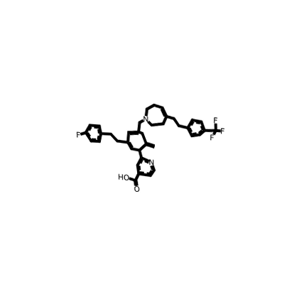 C=C1CC(CN2CCC=C(CCc3ccc(C(F)(F)F)cc3)CC2)=CC(CCc2ccc(F)cc2)=CC1c1cc(C(=O)O)ccn1